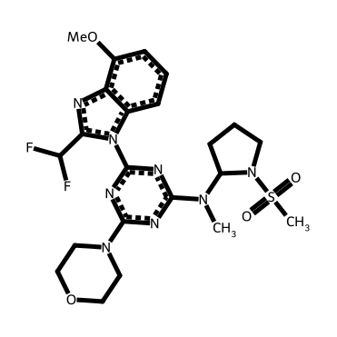 COc1cccc2c1nc(C(F)F)n2-c1nc(N2CCOCC2)nc(N(C)C2CCCN2S(C)(=O)=O)n1